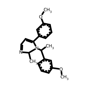 COc1cccc(C2=CC=NC(C)N2C(C)c2cccc(OC)c2)c1